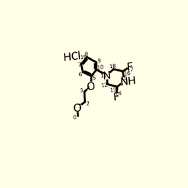 COCCOc1ccccc1N1CC(F)NC(F)C1.Cl